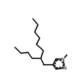 CCCCCCC(CCCC)Cc1cnn(C)c1